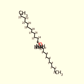 CCCCCCCCCCCCOCCCCCCCCCCCC.[NaH].[NaH]